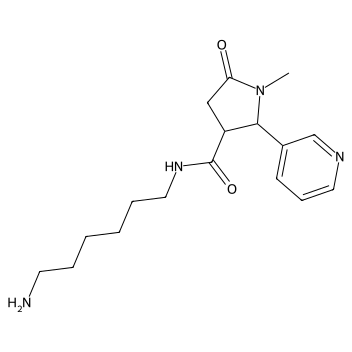 CN1C(=O)CC(C(=O)NCCCCCCN)C1c1cccnc1